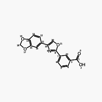 O=C(O)c1cccc(-c2nc(-c3ccc4c(c3)OCO4)co2)c1